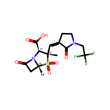 C[C@]1(/C=C2/CCN(CC(F)(F)F)C2=O)[C@H](C(=O)O)N2C(=O)C[C@H]2S1(=O)=O